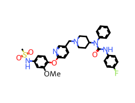 COc1cc(NS(C)(=O)=O)ccc1Oc1ccc(CN2CCC(N(C(=O)Nc3ccc(F)cc3)c3ccccc3)CC2)cn1